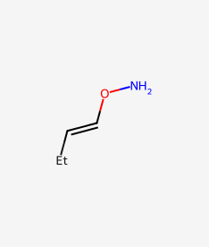 CCC=CON